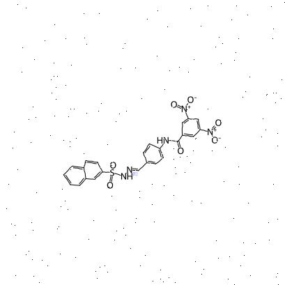 O=C(Nc1ccc(/C=N/NS(=O)(=O)c2ccc3ccccc3c2)cc1)c1cc([N+](=O)[O-])cc([N+](=O)[O-])c1